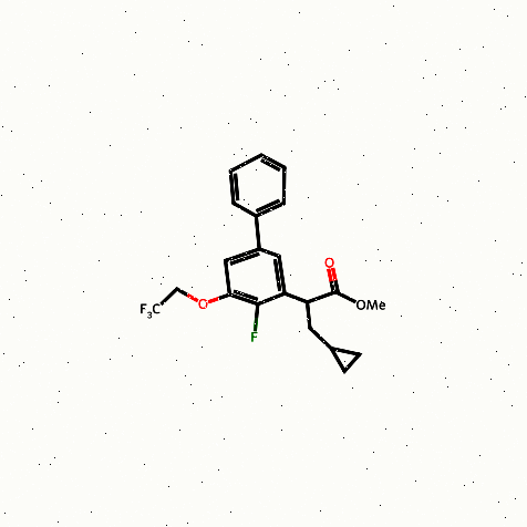 COC(=O)C(CC1CC1)c1cc(-c2ccccc2)cc(OCC(F)(F)F)c1F